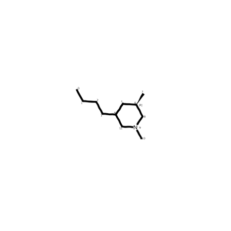 CCCCC1C[C@@H](C)CN(C)C1